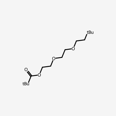 CC(C)(C)CCOCCOCCOC(=O)C(C)(C)C